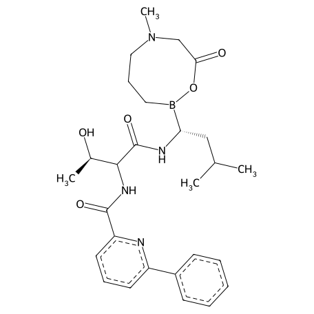 CC(C)C[C@H](NC(=O)C(NC(=O)c1cccc(-c2ccccc2)n1)[C@@H](C)O)B1CCCN(C)CC(=O)O1